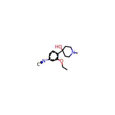 [C-]#[N+]c1ccc(C2(O)CCN(C)CC2)c(OCC)c1